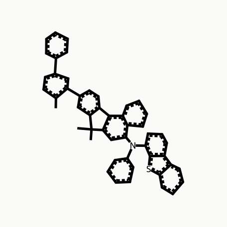 Cc1ccc(-c2ccccc2)cc1-c1ccc2c(c1)C(C)(C)c1cc(N(c3ccccc3)c3cccc4c3sc3ccccc34)c3ccccc3c1-2